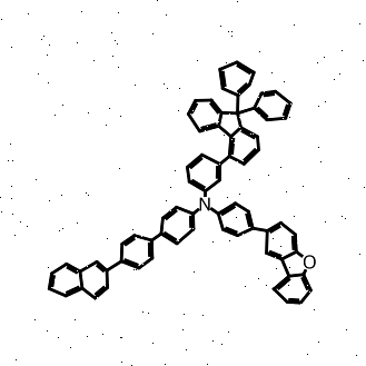 c1ccc(C2(c3ccccc3)c3ccccc3-c3c(-c4cccc(N(c5ccc(-c6ccc(-c7ccc8ccccc8c7)cc6)cc5)c5ccc(-c6ccc7oc8ccccc8c7c6)cc5)c4)cccc32)cc1